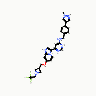 Cn1cc(-c2ccc(CNc3cc(-c4cnc5cc(OCC6CN(CC(F)(F)F)C6)ccn45)ncn3)cc2)cn1